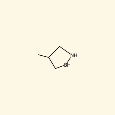 CC1CBNC1